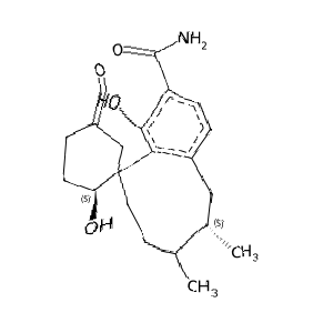 CC1CCC2(CC(=O)CC[C@@H]2O)c2c(ccc(C(N)=O)c2O)C[C@@H]1C